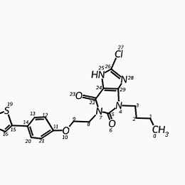 CCCCn1c(=O)n(CCOc2ccc(-c3cccs3)cc2)c(=O)c2[nH]c(Cl)nc21